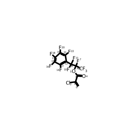 C=C(Cl)C(=O)OC(F)(C(F)(F)F)C(F)(F)c1c(F)c(F)c(F)c(F)c1F